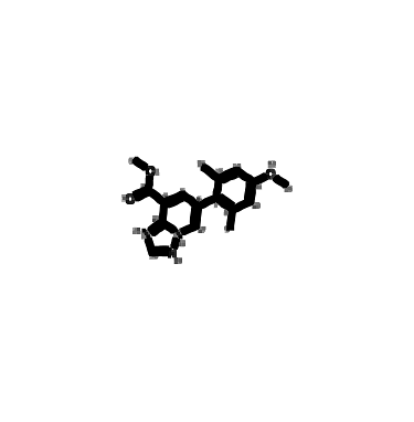 COC(=O)c1cc(-c2c(C)cc(OC)cc2C)cn2ncnc12